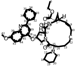 CCOC(=O)[C@]12C[C@@H]1C=CCCCCC[C@H](N1CCCCC1)C(=O)N1C[C@H](Oc3cc(-c4ccccc4)nc4cc(OC)ccc34)C[C@H]1C(=O)N2